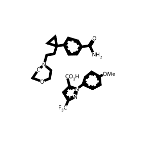 COc1ccc(-n2nc(C(F)(F)F)cc2C(=O)O)cc1.NC(=O)c1ccc(C2(CCN3CCOCC3)CC2)cc1